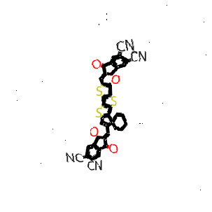 N#Cc1cc2c(cc1C#N)C(=O)C(=CC1=Cc3sc4c(sc5cc(C=C6C(=O)c7cc(C#N)c(C#N)cc7C6=O)sc54)c3C13CCCCC3)C2=O